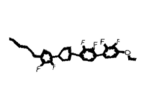 C/C=C/CCc1ccc(C2CC=C(c3ccc(-c4ccc(OCC)c(F)c4F)c(F)c3F)CC2)c(F)c1F